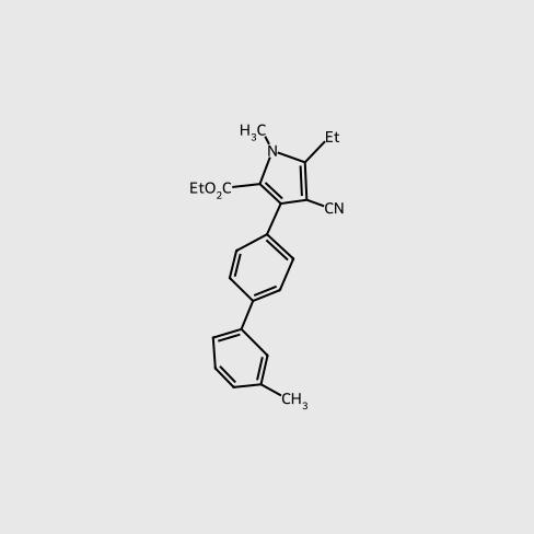 CCOC(=O)c1c(-c2ccc(-c3cccc(C)c3)cc2)c(C#N)c(CC)n1C